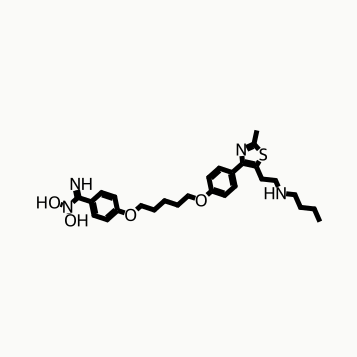 CCCCNCCc1sc(C)nc1-c1ccc(OCCCCCOc2ccc(C(=N)N(O)O)cc2)cc1